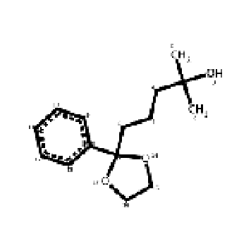 CC(C)(O)CCCC1(c2ccccc2)OCCO1